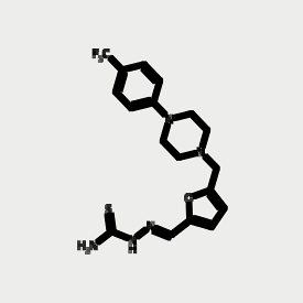 NC(=S)NN=Cc1ccc(CN2CCN(c3ccc(C(F)(F)F)cc3)CC2)o1